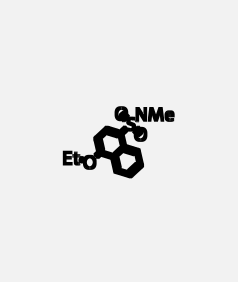 [CH2]NS(=O)(=O)c1ccc(OCC)c2ccccc12